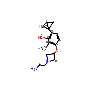 NCCN1CC(Oc2ccc(C34BC3C4)c(O)c2C(=O)O)C1